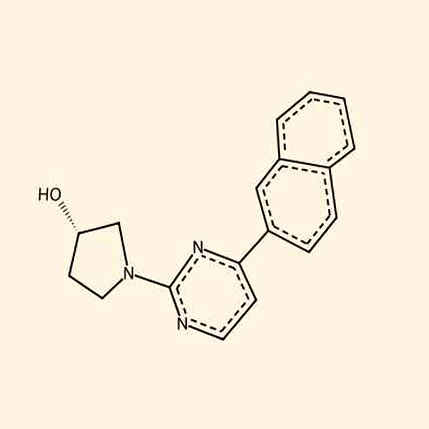 O[C@H]1CCN(c2nccc(-c3ccc4ccccc4c3)n2)C1